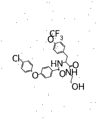 O=C(NC(Cc1ccc(OC(F)(F)F)cc1)C(=O)NCCO)c1ccc(Oc2ccc(Cl)cc2)cc1